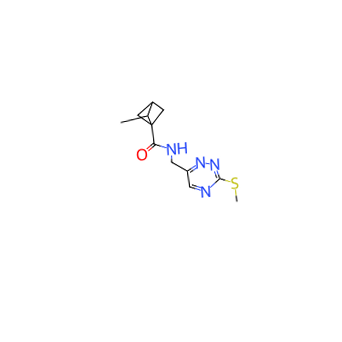 CSc1ncc(CNC(=O)C23CC(C2)C3C)nn1